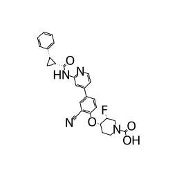 N#Cc1cc(-c2ccnc(NC(=O)[C@@H]3C[C@@H]3c3ccccc3)c2)ccc1O[C@H]1CCN(C(=O)O)C[C@H]1F